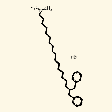 Br.CN(C)CCCCCCCCCCCCCCCCCC(Cc1ccccc1)Cc1ccccc1